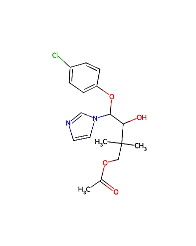 CC(=O)OCC(C)(C)C(O)C(Oc1ccc(Cl)cc1)n1ccnc1